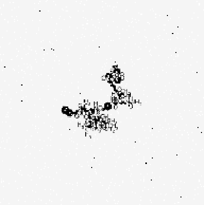 CC[C@H](C)[C@@H]([C@@H](CC(=O)N1C[C@@H](NC(=O)OCc2ccc(NC(=O)[C@H](CCCNC(N)=O)NC(=O)[C@@H](NC(=O)CCCCCN3C(=O)CC(SCC4(CC(=O)ON5C(=O)CCC5=O)CC4)C3=O)C(C)C)cc2)C[C@H]1[C@H](OC)[C@@H](C)C(=O)NCC(=O)c1ccc2ccccc2c1)OC)N(C)C(=O)[C@@H](NC(=O)[C@H](C(C)C)N(C)C)C(C)C